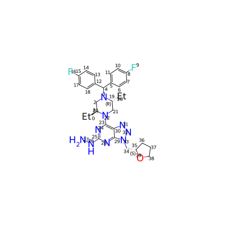 CC[C@H]1CN(C(c2ccc(F)cc2)c2ccc(F)cc2)[C@H](CC)CN1c1nc(NN)nc2c1nnn2C[C@@H]1CCCO1